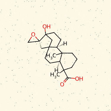 CC1(C(=O)O)CCCC2(C)[C@@H]3CCC4(O)CC3(CC[C@H]12)C[C@@]41CO1